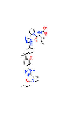 CC[C@H](C)CC(=O)N1CCC[C@H]1c1nnc(-c2ccc3c(c2)Oc2ccc(-c4nnc([C@@H]5CCCN5C(=O)[C@@H](NC(=O)OC)[C@@H](C)CC)[nH]4)cc2C32CC2)[nH]1